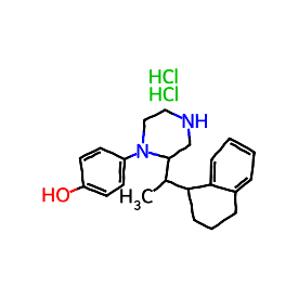 CC(C1CCCc2ccccc21)C1CNCCN1c1ccc(O)cc1.Cl.Cl